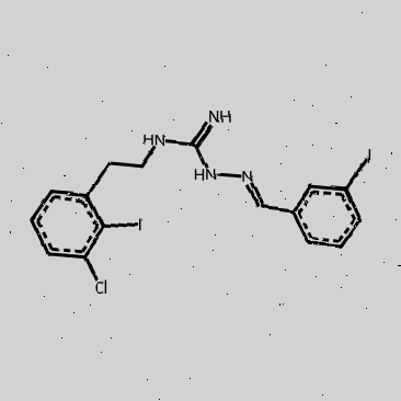 N=C(NCCc1cccc(Cl)c1I)NN=Cc1cccc(I)c1